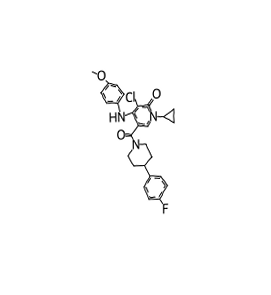 COc1ccc(Nc2c(C(=O)N3CCC(c4ccc(F)cc4)CC3)cn(C3CC3)c(=O)c2Cl)cc1